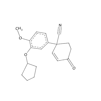 COc1ccc(C2(C#N)C=CC(=O)CC2)cc1OC1CCCC1